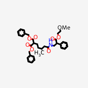 COCCOC(=O)C(CNC(=O)C[C@H](C)CCC(C(=O)OCc1ccccc1)C(=O)OCc1ccccc1)c1ccccc1